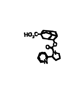 O=C(OC1C2CC3CC1CC(C(=O)O)(C3)C2)N1CCCC1c1ccccn1